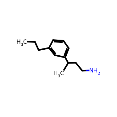 CCCc1cccc(C(C)CCN)c1